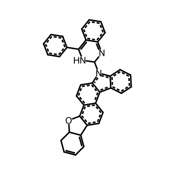 C1=CCC2Oc3c(ccc4c3ccc3c4c4ccccc4n3C3N=c4ccccc4=C(c4ccccc4)N3)C2=C1